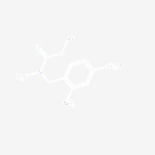 CC(C)OC(=O)N(C)Cc1ccc(C(=O)O)cc1[N+](=O)[O-]